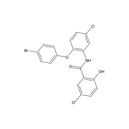 O=C(Nc1cc(Cl)ccc1Oc1ccc(Br)cc1)c1cc(Cl)ccc1O